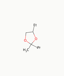 CCC1COC(C)(C(C)C)O1